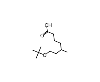 CC(CCCC(=O)O)CCOC(C)(C)C